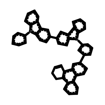 C1=Cc2c(c3ccccc3c3ccc(-c4cccc(-n5c6ccccc6c6cc(-c7ccc8c(c7)c7ccccc7n8-c7ccccc7)ccc65)c4)cc23)CC1